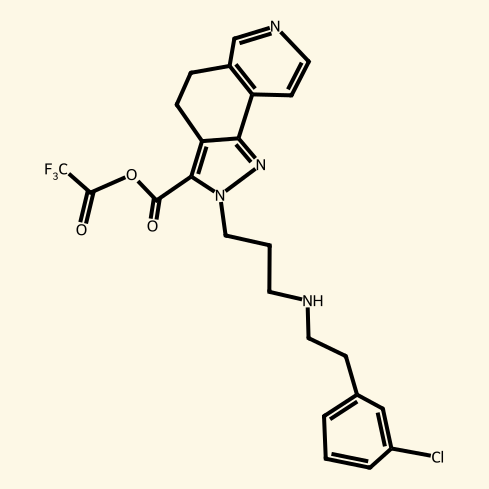 O=C(OC(=O)C(F)(F)F)c1c2c(nn1CCCNCCc1cccc(Cl)c1)-c1ccncc1CC2